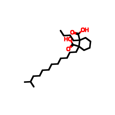 CCCCC1(C(=O)O)CCCCC1(CCCCCCCCCCC(C)C)C(=O)O